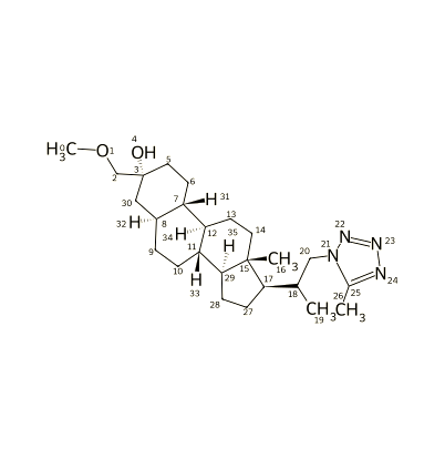 COC[C@@]1(O)CC[C@H]2[C@@H](CC[C@@H]3[C@@H]2CC[C@]2(C)[C@@H](C(C)Cn4nnnc4C)CC[C@@H]32)C1